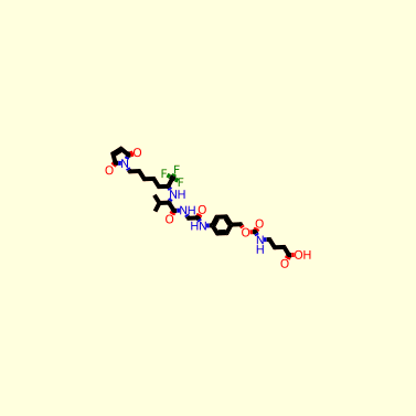 CC(C)C(NC(CCCCCN1C(=O)C=CC1=O)C(F)(F)F)C(=O)NCC(=O)Nc1ccc(COC(=O)NCCCC(=O)O)cc1